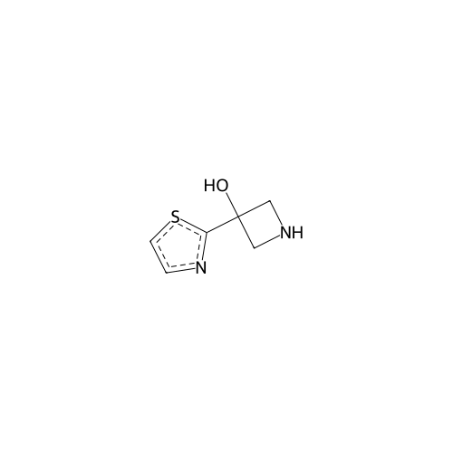 OC1(c2nccs2)CNC1